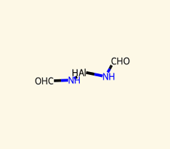 O=C[NH][AlH][NH]C=O